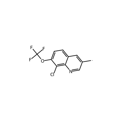 [CH2]c1cnc2c(Cl)c(OC(F)(F)F)ccc2c1